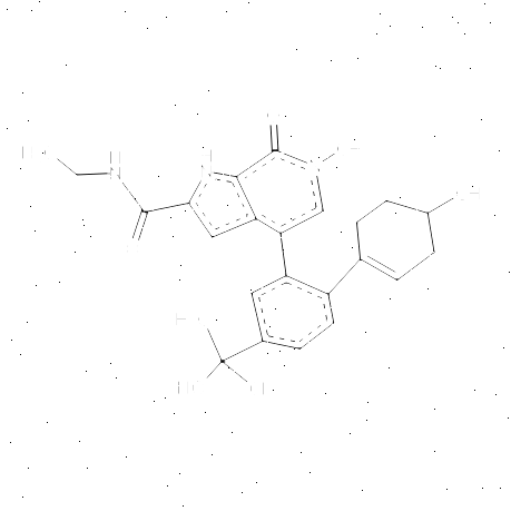 CCNC(=O)c1cc2c(-c3cc(C(C)(C)O)ccc3C3=CCC(C)CC3)cn(C)c(=O)c2[nH]1